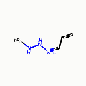 C=C/C=N\NNCCC